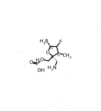 B[C@@H]1O[C@](CN)(CO[PH](=O)O)[C@H](C)C1F